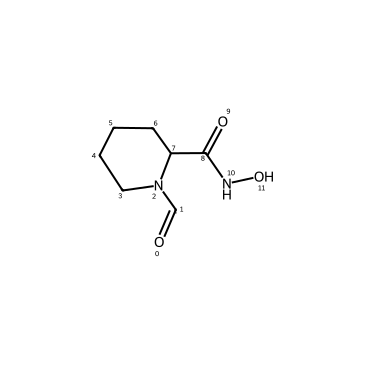 O=[C]N1CCCCC1C(=O)NO